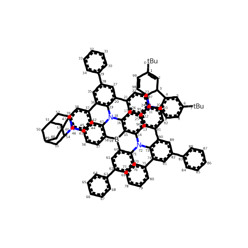 CC(C)(C)C1=CC2c3cc(C(C)(C)C)ccc3N(c3cc4c5c(c3)N(c3c(-c6ccccc6)cc(-c6ccccc6)cc3-c3ccccc3)c3cc(N6C7CC8CC(C7)CC6C8)ccc3B5c3cc(-c5ccccc5)ccc3N4c3c(-c4ccccc4)cc(-c4ccccc4)cc3-c3ccccc3)C2C=C1